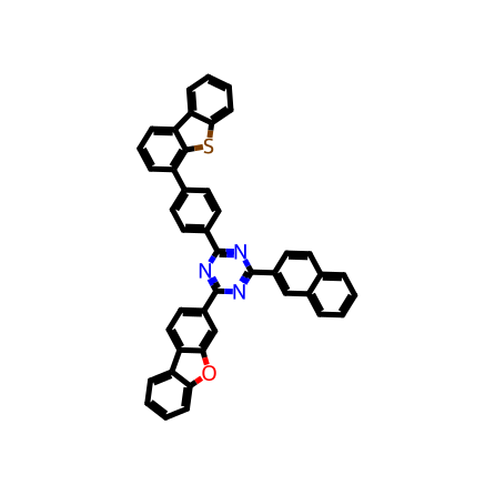 c1ccc2cc(-c3nc(-c4ccc(-c5cccc6c5sc5ccccc56)cc4)nc(-c4ccc5c(c4)oc4ccccc45)n3)ccc2c1